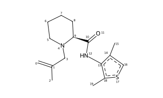 C=C(C)CN1CCCC[C@H]1C(=O)Nc1c(C)csc1C